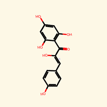 O=C(/C(O)=C/c1ccc(O)cc1)c1c(O)cc(O)cc1O